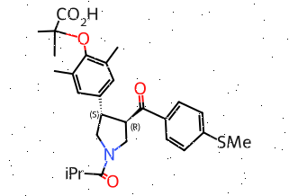 CSc1ccc(C(=O)[C@H]2CN(C(=O)C(C)C)C[C@@H]2c2cc(C)c(OC(C)(C)C(=O)O)c(C)c2)cc1